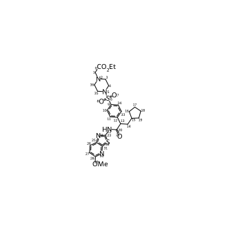 CCOC(=O)CN1CCN(S(=O)(=O)c2ccc(C(CC3CCCC3)C(=O)Nc3nc4ccc(OC)nc4s3)cc2)CC1